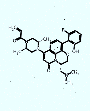 C=CC(=O)N1C[C@H](C)N(c2cc(=O)n3c4c(c(-c5c(O)cccc5F)ccc24)OC[C@@H]3CN(C)C)C[C@H]1C